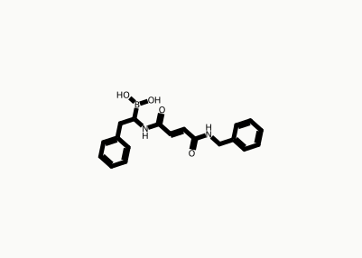 O=C(/C=C/C(=O)NC(Cc1ccccc1)B(O)O)NCc1ccccc1